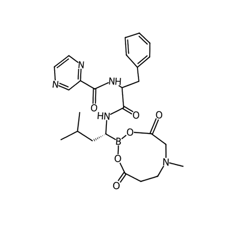 CC(C)C[C@H](NC(=O)C(Cc1ccccc1)NC(=O)c1cnccn1)B1OC(=O)CCN(C)CC(=O)O1